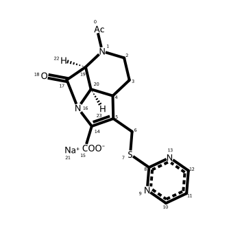 CC(=O)N1CCC2C(CSc3ncccn3)=C(C(=O)[O-])N3C(=O)[C@@H]1[C@@H]23.[Na+]